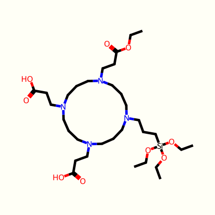 CCOC(=O)CCN1CCCN(CCC[Si](OCC)(OCC)OCC)CCCN(CCC(=O)O)CCCN(CCC(=O)O)CCC1